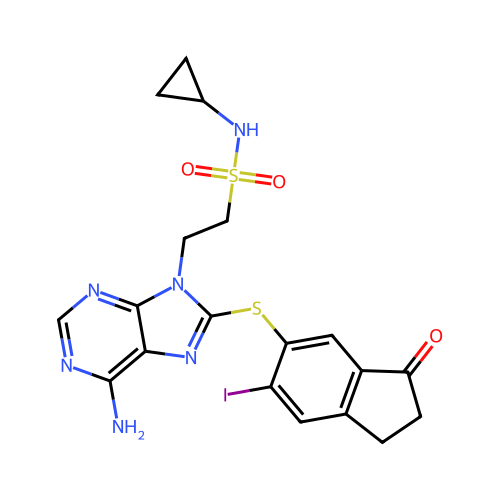 Nc1ncnc2c1nc(Sc1cc3c(cc1I)CCC3=O)n2CCS(=O)(=O)NC1CC1